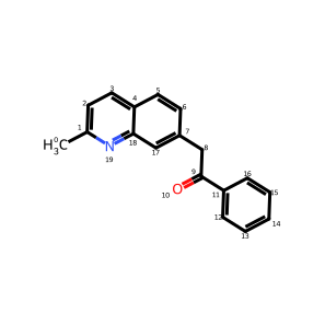 Cc1ccc2ccc(CC(=O)c3ccccc3)cc2n1